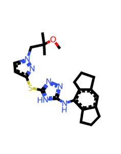 COC(C)(C)Cn1ccc(Sc2nnc(Nc3c4c(cc5c3CCC5)CCC4)[nH]2)n1